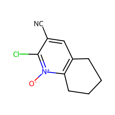 N#Cc1cc2c([n+]([O-])c1Cl)CCCC2